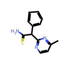 Cc1ccnc(C(C(N)=S)c2ccccc2)n1